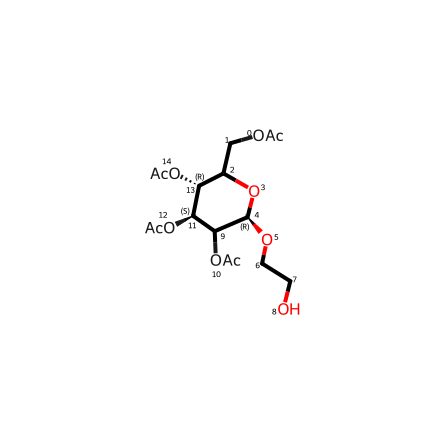 CC(=O)OCC1O[C@@H](OCCO)C(OC(C)=O)[C@@H](OC(C)=O)[C@@H]1OC(C)=O